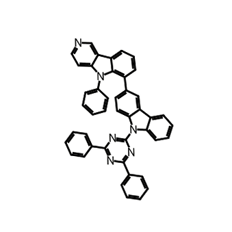 c1ccc(-c2nc(-c3ccccc3)nc(-n3c4ccccc4c4cc(-c5cccc6c7cnccc7n(-c7ccccc7)c56)ccc43)n2)cc1